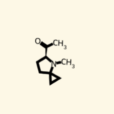 CC(=O)[C@@H]1CCC2(CC2)N1C